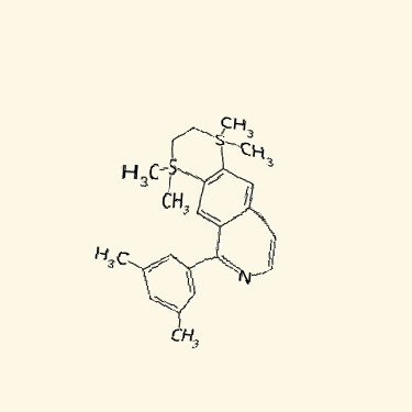 Cc1cc(C)cc(-c2nccc3cc4c(cc23)S(C)(C)CCS4(C)C)c1